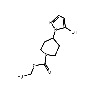 CCOC(=O)N1CCC(n2nccc2O)CC1